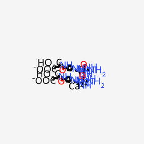 CN1c2c(nc(N)[nH]c2=O)NCC1CNc1ccc(C(=O)N[C@H](CCC(=O)[O-])C(=O)O)cc1.CN1c2c(nc(N)[nH]c2=O)NCC1CNc1ccc(C(=O)N[C@H](CCC(=O)[O-])C(=O)O)cc1.[Ca+2]